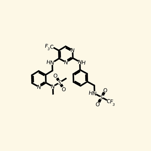 CN(c1ncccc1CNc1nc(Nc2cccc(CNS(=O)(=O)C(F)(F)F)c2)ncc1C(F)(F)F)S(C)(=O)=O